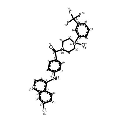 O=C(c1ccc(Nc2ccnc3cc(Cl)ccc23)cc1)N1CC[N+]([O-])(c2cccc(C(F)(F)F)c2)CC1